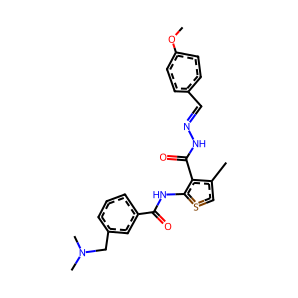 COc1ccc(/C=N/NC(=O)c2c(C)csc2NC(=O)c2cccc(CN(C)C)c2)cc1